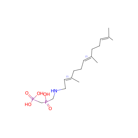 CC(C)=CCC/C(C)=C/CC/C(C)=C/CNCP(=O)(O)CP(=O)(O)O